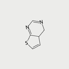 C1=CC2CN=CN=C2S1